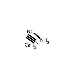 C#N.N#CN.[CaH2]